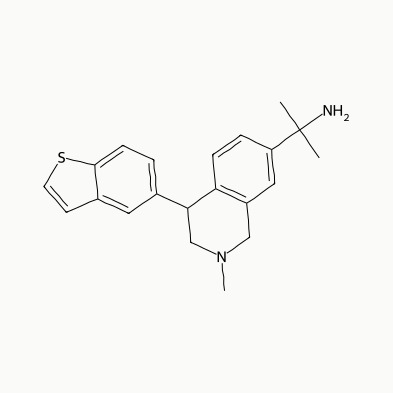 CN1Cc2cc(C(C)(C)N)ccc2C(c2ccc3sccc3c2)C1